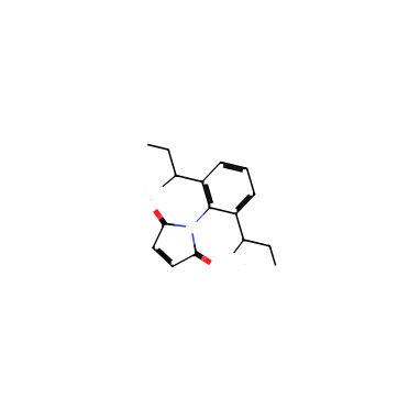 CCC(C)c1cccc(C(C)CC)c1N1C(=O)C=CC1=O